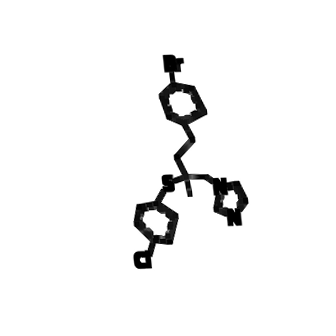 CC(CCc1ccc(Br)cc1)(Cn1ccnc1)Sc1ccc(Cl)cc1